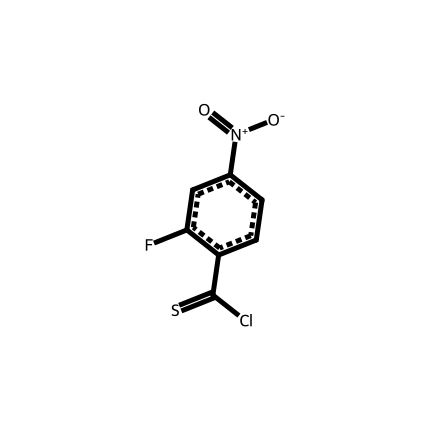 O=[N+]([O-])c1ccc(C(=S)Cl)c(F)c1